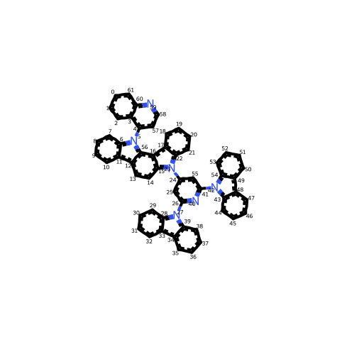 c1ccc2c(-n3c4ccccc4c4ccc5c(c6ccccc6n5-c5cc(-n6c7ccccc7c7ccccc76)nc(-n6c7ccccc7c7ccccc76)c5)c43)ccnc2c1